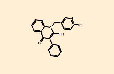 O=c1c(-c2ccccc2)c(O)n(Cc2ccc(Cl)nc2)c2cccc[n+]12